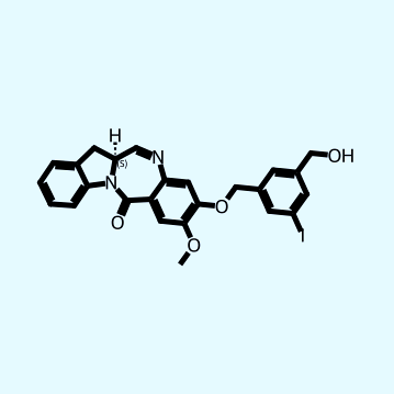 COc1cc2c(cc1OCc1cc(I)cc(CO)c1)N=C[C@@H]1Cc3ccccc3N1C2=O